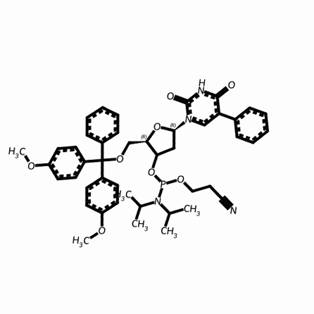 COc1ccc(C(OC[C@H]2O[C@@H](n3cc(-c4ccccc4)c(=O)[nH]c3=O)CC2OP(OCCC#N)N(C(C)C)C(C)C)(c2ccccc2)c2ccc(OC)cc2)cc1